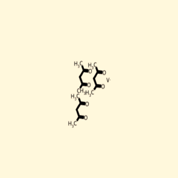 CC(=O)CC(C)=O.CC(=O)CC(C)=O.CC(=O)CC(C)=O.[V]